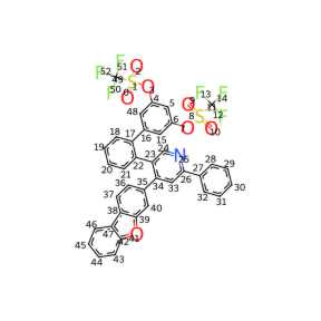 O=S(=O)(Oc1cc(OS(=O)(=O)C(F)(F)F)cc(-c2ccccc2-c2cnc(-c3ccccc3)cc2-c2ccc3c(c2)oc2ccccc23)c1)C(F)(F)F